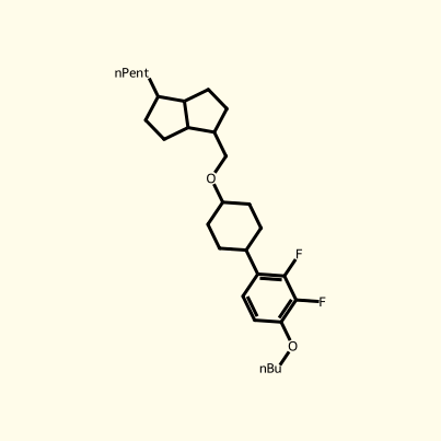 CCCCCC1CCC2C(COC3CCC(c4ccc(OCCCC)c(F)c4F)CC3)CCC12